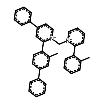 Cc1ccccc1-c1cccc[n+]1C[n+]1ccc(-c2ccccc2)cc1-c1ccc(-c2ccccc2)cc1C